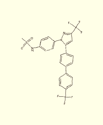 CS(=O)(=O)Nc1ccc(-n2nc(C(F)(F)F)cc2-c2ccc(-c3ccc(C(F)(F)F)cc3)cc2)cc1